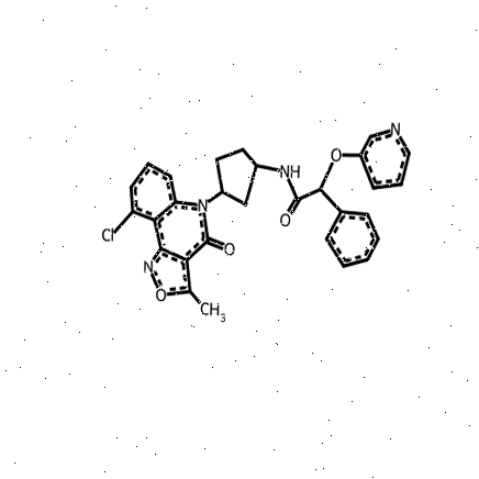 Cc1onc2c1c(=O)n(C1CCC(NC(=O)C(Oc3cccnc3)c3ccccc3)C1)c1cccc(Cl)c21